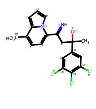 CC(O)(CC(=N)c1ccc(C(=O)O)c2cccn12)c1cc(Cl)c(Cl)c(Cl)c1